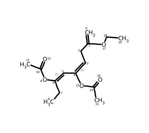 C=C(C/C=C(\C=C(/CC)OC(C)=O)OC(C)=O)OCC